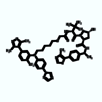 Cc1ccc(-c2c(C)noc2C)cc1N(CCCCCOCC(=O)N[C@H](C(=O)N1C[C@H](O)C[C@H]1C(=O)N[C@@H](C)c1ccc(-c2scnc2C)cc1)C(C)(C)C)c1ccc(-n2cncn2)cc1